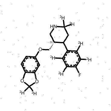 [2H]c1c([2H])c(C2CC([2H])([2H])NC[C@H]2COc2ccc3c(c2)OC([2H])([2H])O3)c([2H])c([2H])c1F